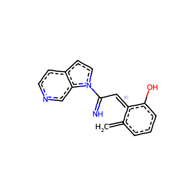 C=c1cccc(O)/c1=C/C(=N)n1ccc2ccncc21